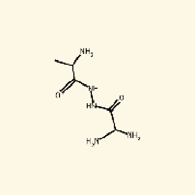 CC(N)C(=O)NNC(=O)C(N)N